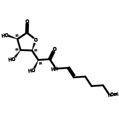 CCCCCCCCCCCCCC=CNC(=O)[C@H](O)[C@H]1OC(=O)[C@@H](O)[C@H]1O